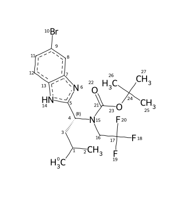 CC(C)C[C@H](c1nc2cc(Br)ccc2[nH]1)N(CC(F)(F)F)C(=O)OC(C)(C)C